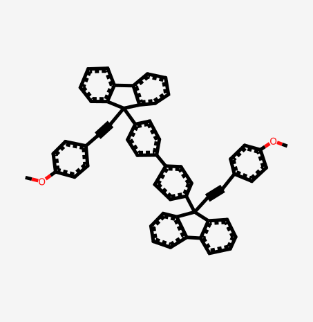 COc1ccc(C#CC2(c3ccc(-c4ccc(C5(C#Cc6ccc(OC)cc6)c6ccccc6-c6ccccc65)cc4)cc3)c3ccccc3-c3ccccc32)cc1